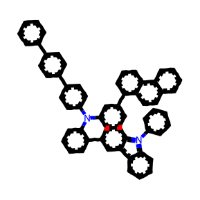 c1ccc(-c2ccc(-c3ccc(N(c4cccc(-c5cccc6c5ccc5ccccc56)c4)c4ccccc4-c4ccc5c(c4)c4ccccc4n5-c4ccccc4)cc3)cc2)cc1